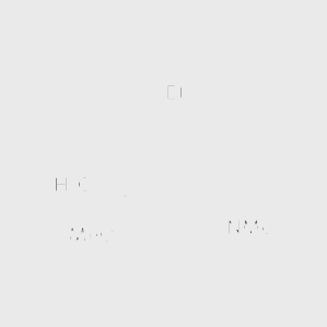 CCC1=CC(NC)=CC(C)(OC)C1